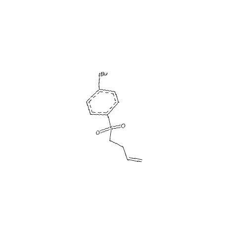 C=CCCS(=O)(=O)c1ccc(C(C)(C)C)cc1